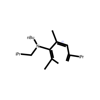 C=C(/C=C(/C)C(=C(C)C)N(CCCC)CC(C)C)C(C)C